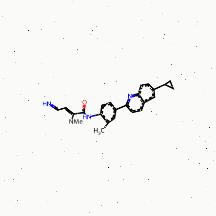 CN/C(=C\C=N)C(=O)Nc1ccc(-c2ccc3cc(C4CC4)ccc3n2)cc1C